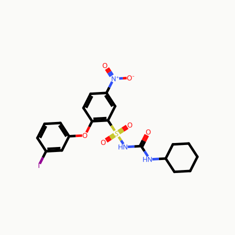 O=C(NC1CCCCC1)NS(=O)(=O)c1cc([N+](=O)[O-])ccc1Oc1cccc(I)c1